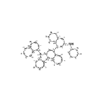 c1ccc(Nc2cc(-c3cc4c(c5ccccc35)c3ccccc3n4-c3cccc4ccccc34)c3ccccc3c2)cc1